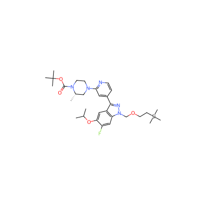 CC(C)Oc1cc2c(-c3ccnc(N4CCN(C(=O)OC(C)(C)C)[C@@H](C)C4)c3)nn(COCC[Si](C)(C)C)c2cc1F